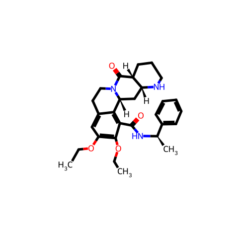 CCOc1cc2c(c(C(=O)N[C@H](C)c3ccccc3)c1OCC)[C@H]1C[C@H]3NCCC[C@H]3C(=O)N1CC2